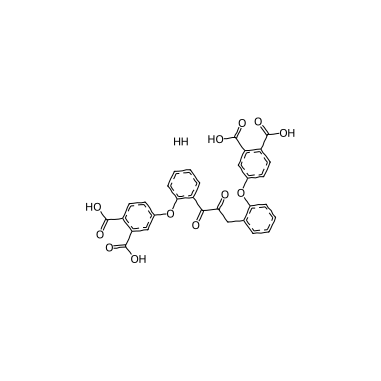 O=C(Cc1ccccc1Oc1ccc(C(=O)O)c(C(=O)O)c1)C(=O)c1ccccc1Oc1ccc(C(=O)O)c(C(=O)O)c1.[HH]